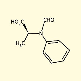 C[C@@H](C(=O)O)N(C=O)c1ccccc1